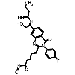 CCCC(=N)/N=C(\CO)c1ccc2c(=O)n(-c3ccc(F)cc3)c(CCCCC(=O)N=O)nc2c1